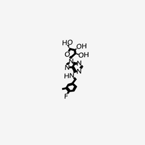 Cc1cc(CNc2ncnc3c2ncn3C2O[C@H](CO)[C@@H](O)[C@H]2O)ccc1F